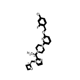 C[C@H](c1nccn1C[C@@H]1CCO1)N1CCN(c2cccc(OCc3ccc(Cl)cc3F)n2)CC1